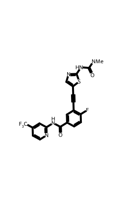 CNC(=O)Nc1ncc(C#Cc2cc(C(=O)Nc3cc(C(F)(F)F)ccn3)ccc2F)s1